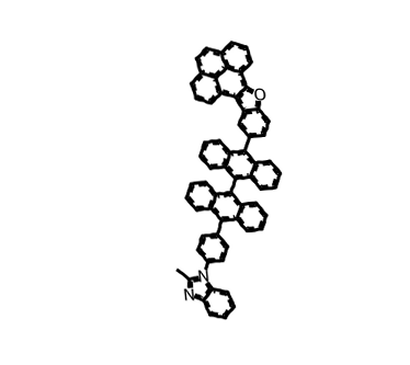 Cc1nc2ccccc2n1-c1ccc(-c2c3ccccc3c(-c3c4ccccc4c(-c4ccc5oc6c7cccc8ccc9cccc(c6c5c4)c9c87)c4ccccc34)c3ccccc23)cc1